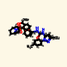 COC(=O)c1ccccc1S(=O)(=O)N1C2CCC1CC(Cc1cccc(NC(=O)Nc3cc(C(C)(C)C)nn3-c3ccc(C)cc3)c1)C2